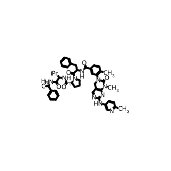 Cc1ccc(Nc2ncc3c(n2)N(C)C(=O)N(c2cc(C(=O)NC(Cc4ccccc4)C(=O)N4CCC[C@@H]4C(=O)NC(C(=O)NC(C)c4ccccc4)C(C)C)ccc2C)C3)cn1